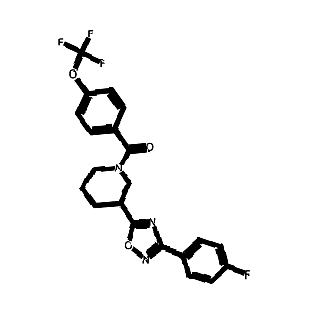 O=C(c1ccc(OC(F)(F)F)cc1)N1CCCC(c2nc(-c3ccc(F)cc3)no2)C1